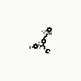 Nc1ccccc1NC(=O)C=Cc1ccc(C(CCN2CC3CC2CO3)C(=O)Nc2ccc(Br)cc2)cc1